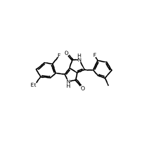 CCc1ccc(F)c(C2=C3C(=O)NC(c4cc(C)ccc4F)=C3C(=O)N2)c1